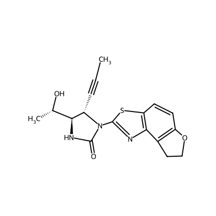 CC#C[C@H]1[C@H]([C@H](C)O)NC(=O)N1c1nc2c3c(ccc2s1)OCC3